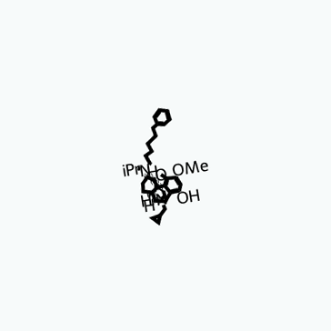 COc1cc(O)c2c3c1O[C@H]1[C@@H](N(CCCCCCc4ccccc4)C(C)C)CC[C@H]4[C@@H](C2)N(CC2CC2)CC[C@@]341